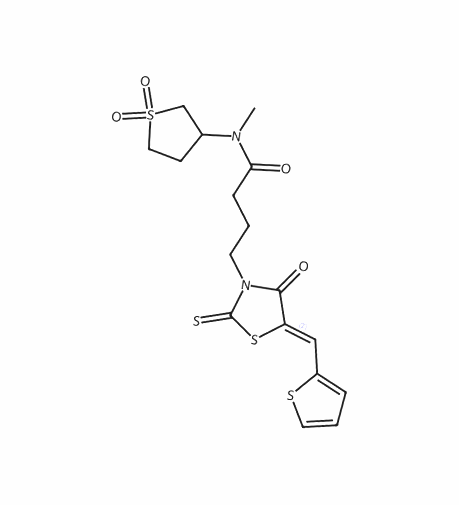 CN(C(=O)CCCN1C(=O)/C(=C/c2cccs2)SC1=S)C1CCS(=O)(=O)C1